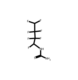 NC(=S)NC(F)C(F)(F)C(F)(F)C(F)F